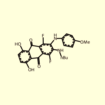 CCCCNc1c(F)c2c(c(F)c1Nc1ccc(OC)cc1)C(=O)c1c(O)ccc(O)c1C2=O